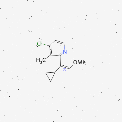 CO/C=C(\c1nccc(Cl)c1C)C1CC1